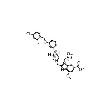 COC(=O)c1cc(OC)c2nc(CN3C[C@@H]4[C@H](C3)[C@H]4c3cccc(OCc4ccc(Cl)cc4F)n3)n(C[C@@H]3CCO3)c2c1